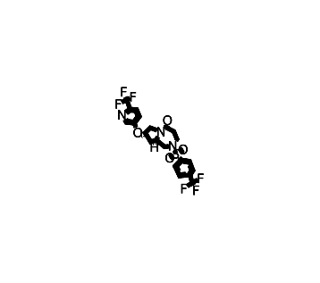 O=C1CCN(S(=O)(=O)c2ccc(C(F)(F)F)cc2)C[C@@H]2C[C@H](Oc3ccc(C(F)(F)F)nc3)CN12